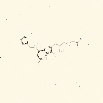 N[C@@H](CNCC(F)F)Cc1oc2c(NCc3cccs3)cc(Cl)nc2c1Br